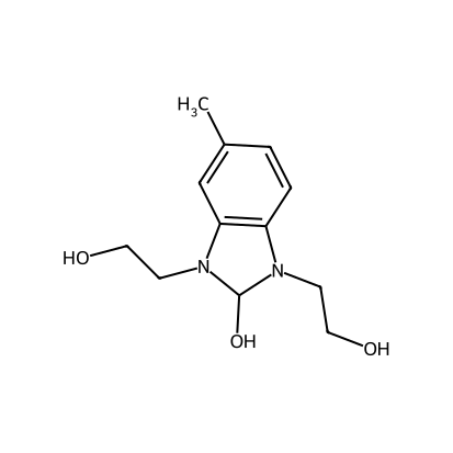 Cc1ccc2c(c1)N(CCO)C(O)N2CCO